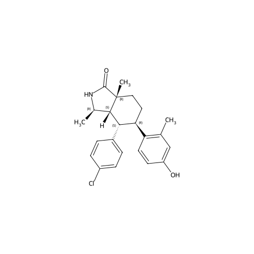 Cc1cc(O)ccc1[C@@H]1CC[C@@]2(C)C(=O)N[C@H](C)[C@H]2[C@H]1c1ccc(Cl)cc1